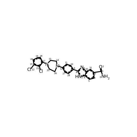 NC(=O)c1ccc2[nH]c(-c3ccc(N4CCN(c5cccc(Cl)c5Cl)CC4)cc3)nc2c1